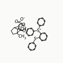 CC12CCC(C(S(=O)(=O)[O-])C1=O)C2(C)C.c1ccc(Sc2ccccc2[S+](c2ccccc2)c2ccccc2)cc1